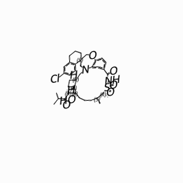 CC(C)C(=O)[C@H](C)[C@@]1(O)CCC[C@H](C)[C@@H](C)S(=O)(=O)NC(=O)c2ccc3c(c2)N(C[C@@H]2CC[C@H]21)C[C@@]1(CCCc2cc(Cl)ccc21)CO3